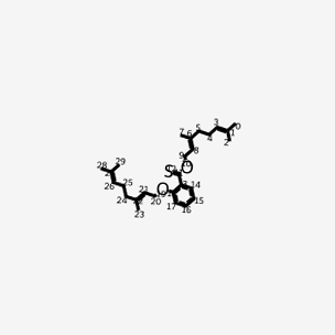 CC(C)=CCC/C(C)=C/COC(=S)c1ccccc1OC/C=C(\C)CCC=C(C)C